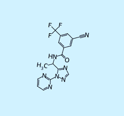 CC(NC(=O)c1cc(C#N)cc(C(F)(F)F)c1)c1ncnn1-c1ncccn1